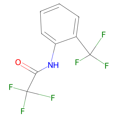 O=C(Nc1ccccc1C(F)(F)F)C(F)(F)F